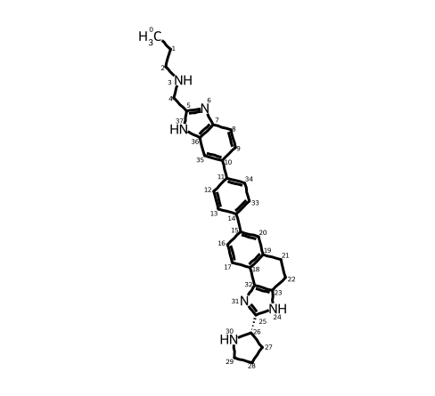 CCCNCc1nc2ccc(-c3ccc(-c4ccc5c(c4)CCc4[nH]c([C@@H]6CCCN6)nc4-5)cc3)cc2[nH]1